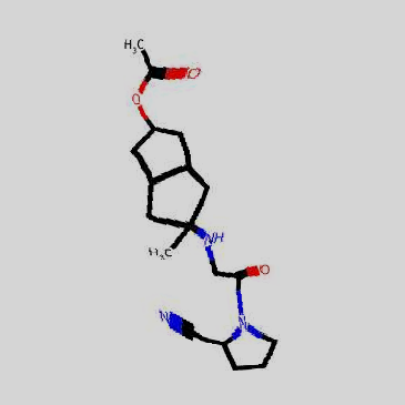 CC(=O)OC1CC2CC(C)(NCC(=O)N3CCCC3C#N)CC2C1